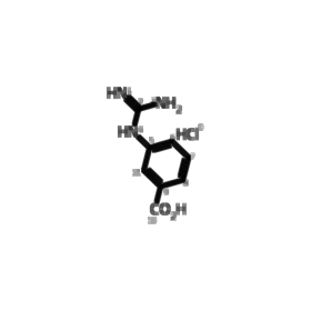 Cl.N=C(N)Nc1cccc(C(=O)O)c1